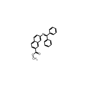 COC(=O)c1ccc2ccc(N=C(c3ccccc3)c3ccccc3)cc2c1